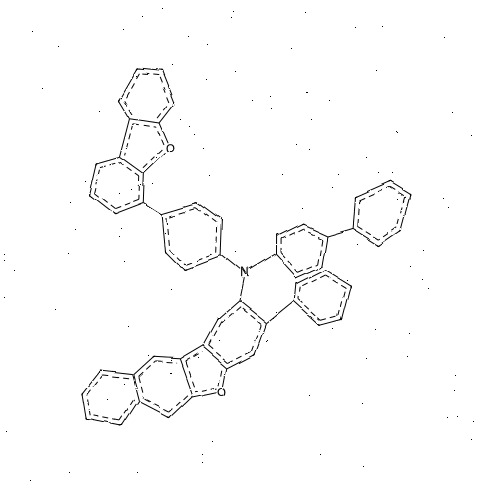 c1ccc(-c2ccc(N(c3ccc(-c4cccc5c4oc4ccccc45)cc3)c3cc4c(cc3-c3ccccc3)oc3cc5ccccc5cc34)cc2)cc1